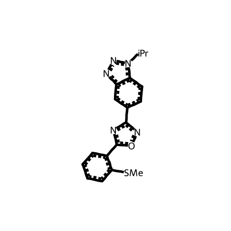 CSc1ccccc1-c1nc(-c2ccc3c(c2)nnn3C(C)C)no1